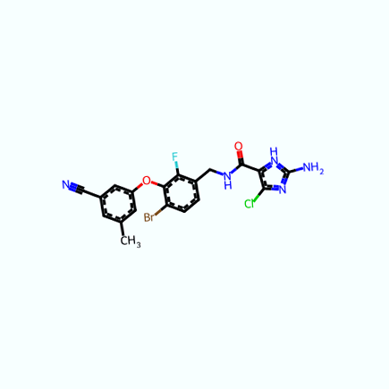 Cc1cc(C#N)cc(Oc2c(Br)ccc(CNC(=O)c3[nH]c(N)nc3Cl)c2F)c1